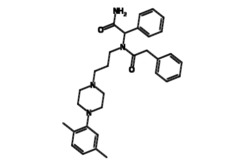 Cc1ccc(C)c(N2CCN(CCCN(C(=O)Cc3ccccc3)C(C(N)=O)c3ccccc3)CC2)c1